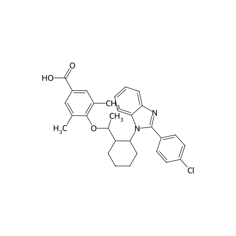 Cc1cc(C(=O)O)cc(C)c1OC(C)C1CCCCC1n1c(-c2ccc(Cl)cc2)nc2ccccc21